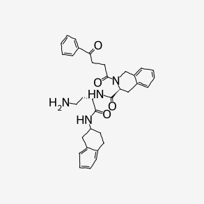 NCC[C@H](NC(=O)[C@@H]1Cc2ccccc2CN1C(=O)CCC(=O)c1ccccc1)C(=O)NC1CCc2ccccc2C1